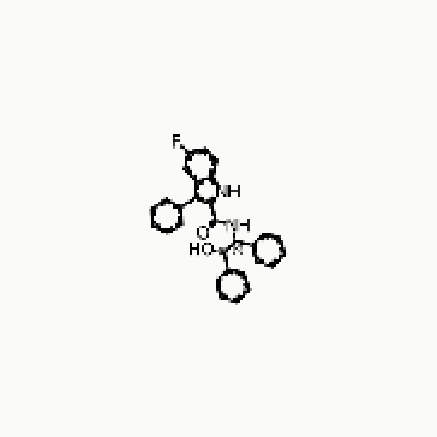 O=C(N[C@@H](c1ccccc1)[C@@H](O)c1ccccc1)c1[nH]c2ccc(F)cc2c1-c1ccccc1